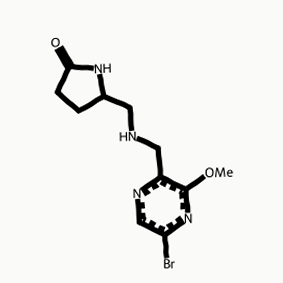 COc1nc(Br)cnc1CNCC1CCC(=O)N1